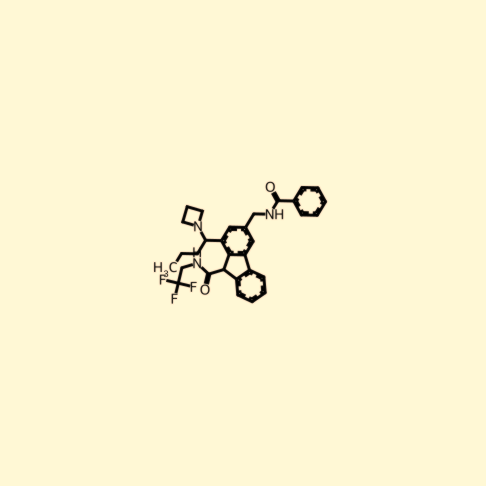 CCCC(c1cc(CNC(=O)c2ccccc2)cc2c1C(C(=O)NCC(F)(F)F)c1ccccc1-2)N1CCC1